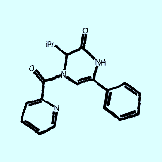 CC(C)C1C(=O)NC(c2ccccc2)=CN1C(=O)c1ccccn1